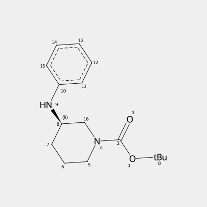 CC(C)(C)OC(=O)N1CCC[C@@H](Nc2ccccc2)C1